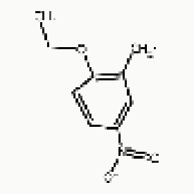 [CH2]c1cc([N+](=O)[O-])ccc1OCC